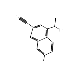 CC(Br)c1cc(C#N)cc2cc(F)ccc12